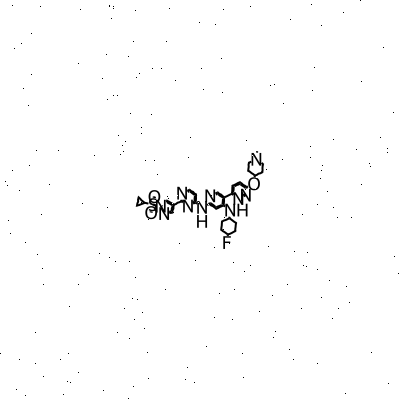 CN1CCC(Oc2ccc(-c3cnc(Nc4ccnc(-c5cnn(S(=O)(=O)C6CC6)c5)n4)cc3NC3CCC(F)CC3)nn2)CC1